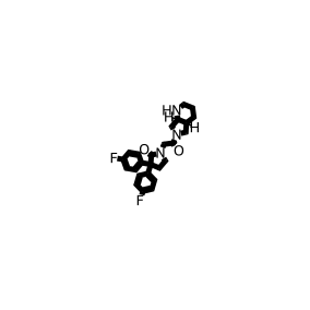 O=C(CN1CCC(c2ccc(F)cc2)(c2ccc(F)cc2)C1=O)N1C[C@@H]2CCCN[C@@H]2C1